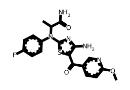 COc1ccc(C(=O)c2sc(N(c3ccc(F)cc3)C(C)C(N)=O)nc2N)cn1